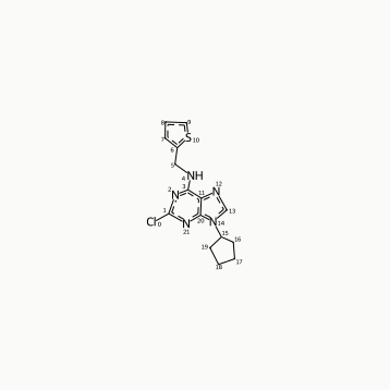 Clc1nc(NCc2cccs2)c2ncn(C3CCCC3)c2n1